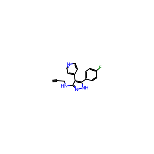 C#CCNc1n[nH]c(-c2ccc(F)cc2)c1-c1ccncc1